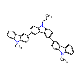 C=CCn1c2ccc(-c3ccc4c(c3)c3ccccc3n4C)cc2c2cc(-c3ccc4c(c3)c3ccccc3n4C)ccc21